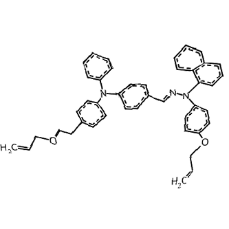 C=CCOCCc1ccc(N(c2ccccc2)c2ccc(C=NN(c3ccc(OCC=C)cc3)c3cccc4ccccc34)cc2)cc1